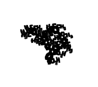 Cc1cc(C)c(Nc2ccc(C(c3ccc(Nc4c(C)cc(C)c(NC(=O)C5CC(C)(C)NC(C)(C)C5)c4C)cc3)c3ccc(S(=O)(=O)O)cc3S(=O)(=O)O)cc2)c(C)c1NC(=O)C1CC(C)(C)NC(C)(C)C1